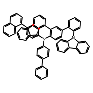 c1ccc(-c2ccc(N(c3ccc(-c4cccc5ccccc45)cc3)c3ccc(-c4ccccc4-n4c5ccccc5c5ccccc54)cc3-c3cccc4c3sc3ccccc34)cc2)cc1